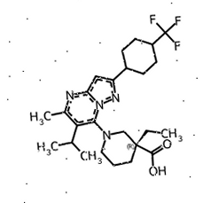 CC[C@@]1(C(=O)O)CCCN(c2c(C(C)C)c(C)nc3cc(C4CCC(C(F)(F)F)CC4)nn23)C1